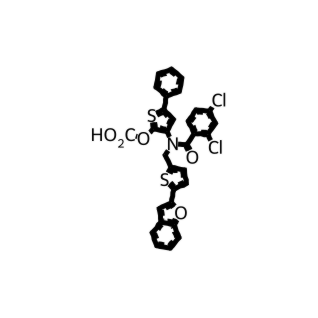 O=C(O)Oc1sc(-c2ccccc2)cc1N(Cc1ccc(-c2cc3ccccc3o2)s1)C(=O)c1ccc(Cl)cc1Cl